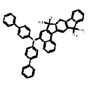 CC1(C)C2=C(CC3C(=C2)c2c(cc(N(c4ccc(-c5ccccc5)cc4)c4ccc(-c5ccccc5)cc4)c4ccccc24)C3(C)C)c2ccccc21